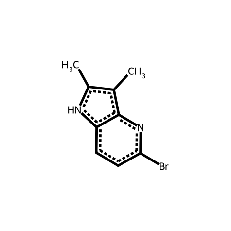 Cc1[nH]c2ccc(Br)nc2c1C